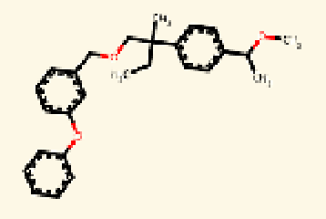 CCC(C)(COCc1cccc(Oc2ccccc2)c1)c1ccc(C(C)OC)cc1